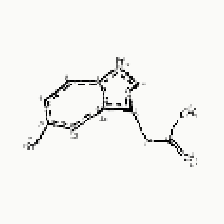 C=C(C)Cc1c[nH]c2ccc(CCC)cc12